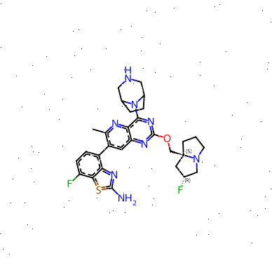 Cc1nc2c(N3C4CCC3CNC4)nc(OC[C@@]34CCCN3C[C@H](F)C4)nc2cc1-c1ccc(F)c2sc(N)nc12